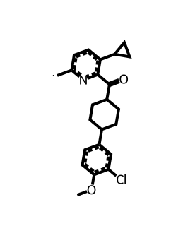 [CH2]c1ccc(C2CC2)c(C(=O)C2CCC(c3ccc(OC)c(Cl)c3)CC2)n1